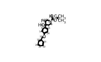 CC(C)(C)OC(=O)N1CC[C@@](O)(c2ccc(OCc3ccccc3)cc2)[C@@H](F)C1